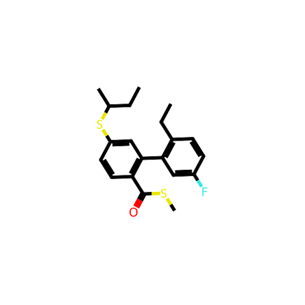 CCc1ccc(F)cc1-c1cc(SC(C)CC)ccc1C(=O)SC